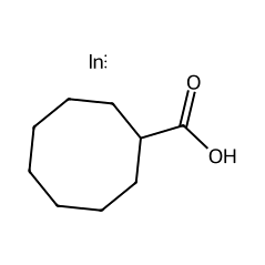 O=C(O)C1CCCCCCC1.[In]